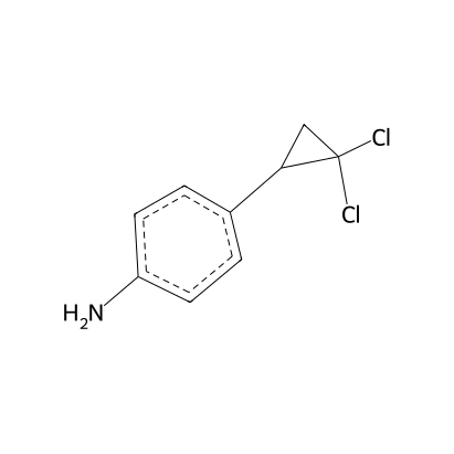 Nc1ccc(C2CC2(Cl)Cl)cc1